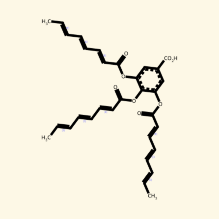 C/C=C/C=C/C=C/C(=O)Oc1cc(C(=O)O)cc(OC(=O)/C=C/C=C/C=C/C)c1OC(=O)/C=C/C=C/C=C/C